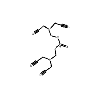 N#CCN(CC#N)CO[PH](=O)OCN(CC#N)CC#N